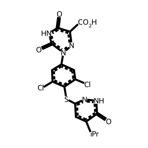 CC(C)c1cc(Sc2c(Cl)cc(-n3nc(C(=O)O)c(=O)[nH]c3=O)cc2Cl)n[nH]c1=O